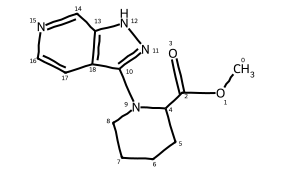 COC(=O)C1CCCCN1c1n[nH]c2cnccc12